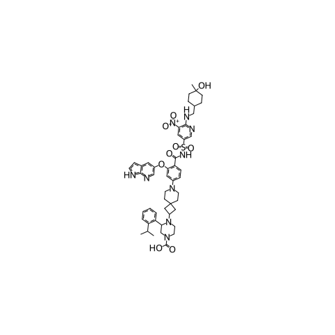 CC(C)c1ccccc1C1CN(C(=O)O)CCN1C1CC2(CCN(c3ccc(C(=O)NS(=O)(=O)c4cnc(NCC5CCC(C)(O)CC5)c([N+](=O)[O-])c4)c(Oc4cnc5[nH]ccc5c4)c3)CC2)C1